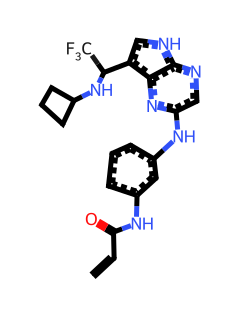 C=CC(=O)Nc1cccc(Nc2cnc3[nH]cc(C(NC4CCC4)C(F)(F)F)c3n2)c1